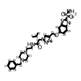 CC(C)[C@@H](C(=O)NCCN1CCN(Cc2ccccc2)CC1)n1cc(COc2ccc3nc(S(N)(=O)=O)sc3c2)nn1